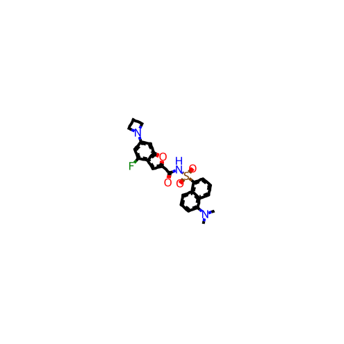 CN(C)c1cccc2c(S(=O)(=O)NC(=O)c3cc4c(F)cc(N5CCC5)cc4o3)cccc12